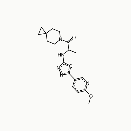 COc1ccc(-c2nnc(NC(C)C(=O)N3CCC4(CC3)CC4)o2)cn1